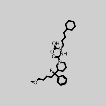 COCCCCC(F)(c1ccccc1)C1CCCN(C(=O)NN(CCCCC2CCCCC2)C(=O)O)C1